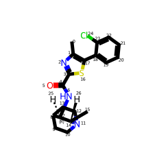 Cc1nc(C(=O)N[C@@H]2C3CCN(CC3)[C@H]2C)sc1-c1ccccc1Cl